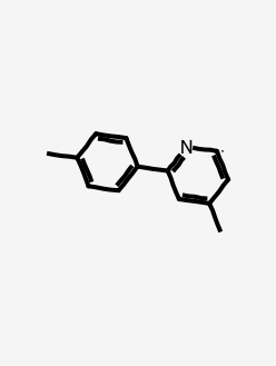 Cc1ccc(-c2cc(C)c[c]n2)cc1